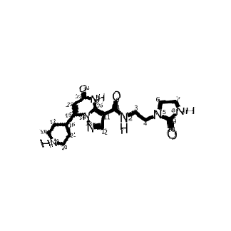 O=C(NCCN1CCNC1=O)c1cnn2c(C3CCNCC3)cc(=O)[nH]c12